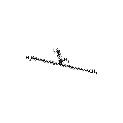 CCCCCCCCCCCCCCCCCCCCC(CCCCCCCCCCCCCCCCCCCC)ON(C)C(C)CCOCCOC